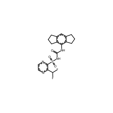 O=C(Nc1c2c(cc3c1CCC3)CCC2)NS(=O)(=O)c1nccnc1C(F)F